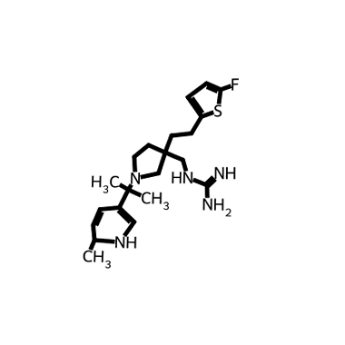 CC1C=CC(C(C)(C)N2CCC(CCc3ccc(F)s3)(CNC(=N)N)C2)=CN1